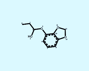 CCC(O)Oc1c[c]cc2c1OCO2